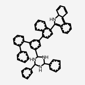 C1=CC2=c3ccccc3=C(c3ccc(-c4cc(-c5ccccc5-c5ccccc5)cc(C5NC(c6ccccc6)NC(c6ccccc6)N5)c4)c4ccccc34)NC2C=C1